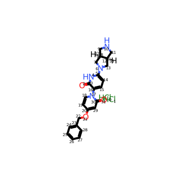 Cl.Cl.O=c1[nH]c(N2C[C@H]3CNC[C@H]3C2)ccc1-n1ccc(OCc2ccccc2)cc1=O